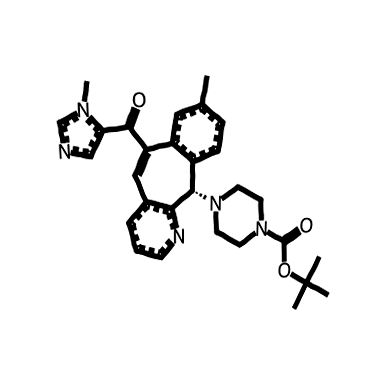 Cc1ccc2c(c1)C(C(=O)c1cncn1C)=Cc1cccnc1[C@H]2N1CCN(C(=O)OC(C)(C)C)CC1